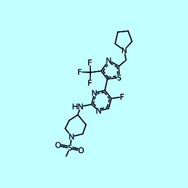 CS(=O)(=O)N1CCC(Nc2ncc(F)c(-c3sc(CN4CCCC4)nc3C(F)(F)F)n2)CC1